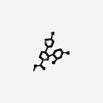 COC(=O)c1ccc(-c2ccc(Cl)cc2)c(-c2ccc(Cl)cc2Cl)c1